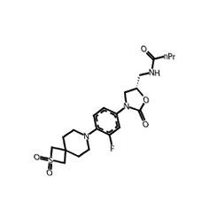 CCCC(=O)NC[C@H]1CN(c2ccc(N3CCC4(CC3)CS(=O)(=O)C4)c(F)c2)C(=O)O1